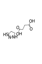 C1C[SiH]=NN1.O=C(O)CCC(=O)O